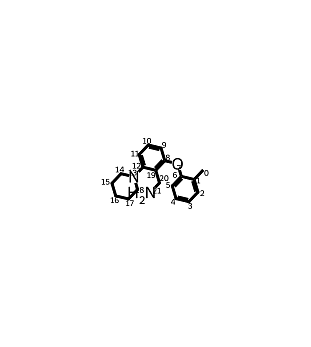 Cc1ccccc1Oc1cccc(N2CCCCC2)c1CN